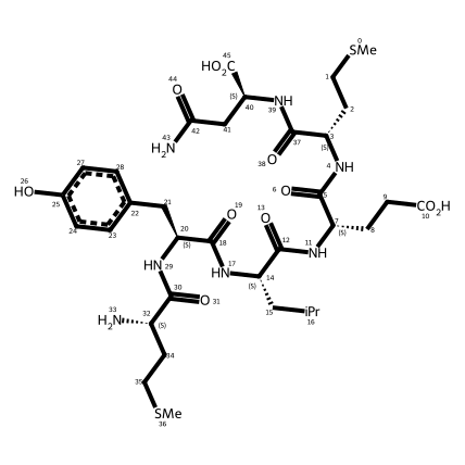 CSCC[C@H](NC(=O)[C@H](CCC(=O)O)NC(=O)[C@H](CC(C)C)NC(=O)[C@H](Cc1ccc(O)cc1)NC(=O)[C@@H](N)CCSC)C(=O)N[C@@H](CC(N)=O)C(=O)O